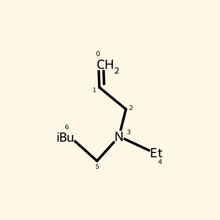 C=CCN(CC)CC(C)CC